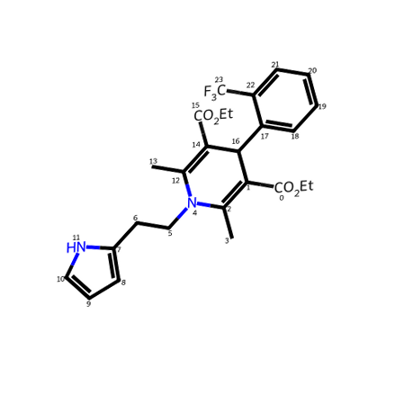 CCOC(=O)C1=C(C)N(CCc2ccc[nH]2)C(C)=C(C(=O)OCC)C1c1ccccc1C(F)(F)F